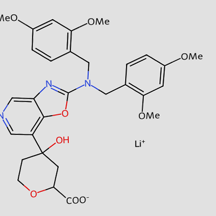 COc1ccc(CN(Cc2ccc(OC)cc2OC)c2nc3cncc(C4(O)CCOC(C(=O)[O-])C4)c3o2)c(OC)c1.[Li+]